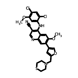 COc1cc(Nc2c(C#N)cnc3cc(-c4coc(CN5CCSCC5)c4)c(OC)cc23)c(Cl)cc1Cl